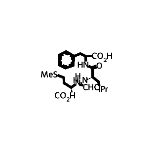 CC(C)C[C@H](N)C(=O)N[C@@H](Cc1ccccc1)C(=O)O.CSCC[C@H](NC=O)C(=O)O